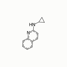 c1ccc2nc(NC3CC3)ccc2c1